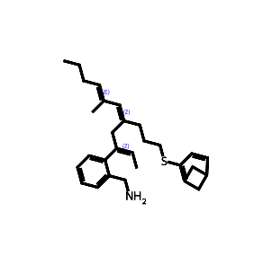 C/C=C(/C/C(=C\C(C)=C\CCC)CCCSC1=C2CC(C=C1)C2)c1ccccc1CN